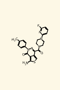 Cc1ccc(-n2nc(C(=O)N3CCN(c4cccc(F)n4)CC3)c3csc(N)c3c2=O)cc1